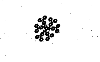 c1ccc(N(c2ccccc2)c2ccc(-c3sc4c(c5c(c6sc(-c7ccc(N(c8ccccc8)c8ccccc8)cc7)c(-c7ccc(N(c8ccccc8)c8ccccc8)cc7)c64)C(c4ccc(N(c6ccccc6)c6ccccc6)cc4)C(c4ccc(N(c6ccccc6)c6ccccc6)cc4)S5)c3-c3ccc(N(c4ccccc4)c4ccccc4)cc3)cc2)cc1